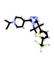 CC(C)N1CCC(c2nnc3n2C(C)(C)C3(C)c2ccc(C(F)(F)F)s2)CC1